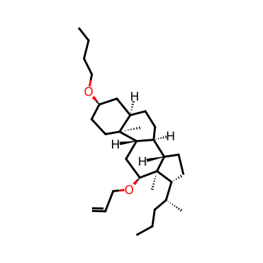 C=CCO[C@H]1C[C@H]2[C@@H](CC[C@@H]3C[C@H](OCCCC)CC[C@@]32C)[C@@H]2CC[C@H]([C@H](C)CCC)[C@@]12C